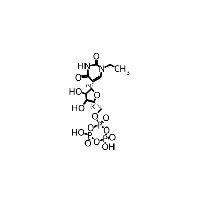 CCn1cc([C@@H]2O[C@H](COP3(=O)OP(=O)(O)OP(=O)(O)O3)C(O)C2O)c(=O)[nH]c1=O